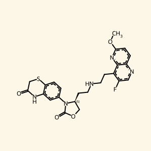 COc1ccc2ncc(F)c(CCNCC[C@H]3COC(=O)N3c3ccc4c(c3)NC(=O)CS4)c2n1